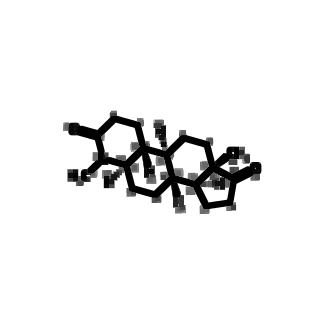 CN1C(=O)CC[C@@H]2[C@H]3CC[C@]4(C)C(=O)CC[C@H]4[C@@H]3CC[C@H]21